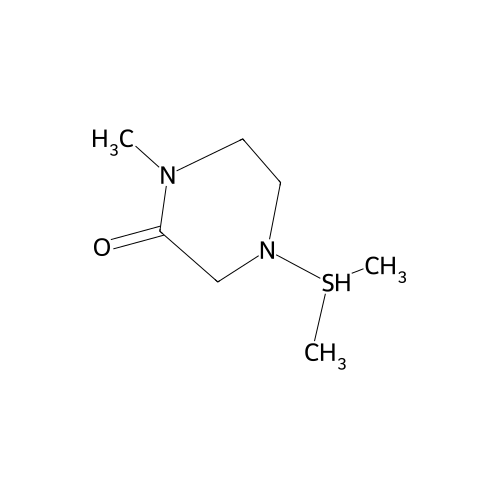 CN1CCN([SH](C)C)CC1=O